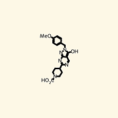 COc1ccc(Cn2nc3nc(C4CCN(C(=O)O)CC4)ncc3c2O)cc1